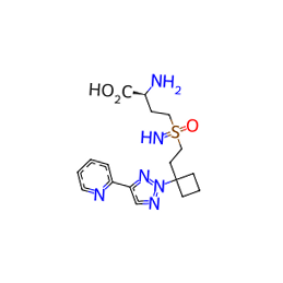 N=S(=O)(CC[C@H](N)C(=O)O)CCC1(n2ncc(-c3ccccn3)n2)CCC1